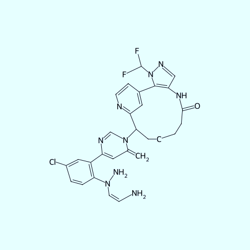 C=C1C=C(c2cc(Cl)ccc2N(N)/C=C\N)N=CN1C1CCCCC(=O)Nc2cnn(C(F)F)c2-c2ccnc1c2